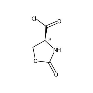 O=C1N[C@H](C(=O)Cl)CO1